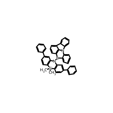 C[Si]1(C)c2ccc(-c3ccccc3)cc2N(B2c3ccccc3-n3c4ccccc4c4cccc2c43)c2cc(-c3ccccc3)ccc21